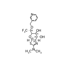 CN(C)C1=N[C@@H]2[C@@H](O)[C@H](O)C([C@@H](OCc3cccnc3)C(F)(F)F)O[C@@H]2S1